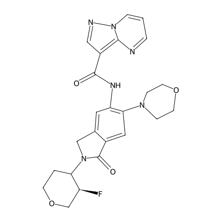 O=C(Nc1cc2c(cc1N1CCOCC1)C(=O)N(C1CCOC[C@@H]1F)C2)c1cnn2cccnc12